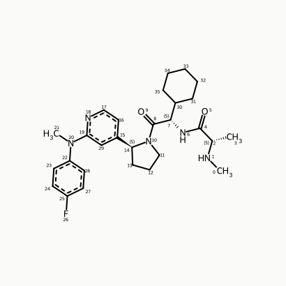 CN[C@@H](C)C(=O)N[C@H](C(=O)N1CCC[C@H]1c1ccnc(N(C)c2ccc(F)cc2)c1)C1CCCCC1